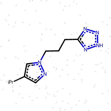 CC(C)c1cnn(CCCc2nn[nH]n2)c1